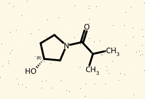 CC(C)C(=O)N1CC[C@@H](O)C1